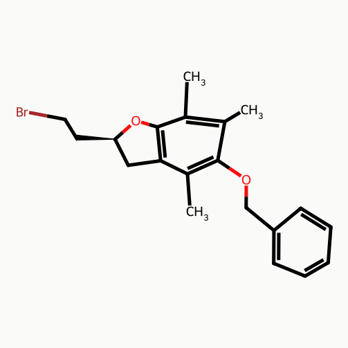 Cc1c(C)c2c(c(C)c1OCc1ccccc1)C[C@@H](CCBr)O2